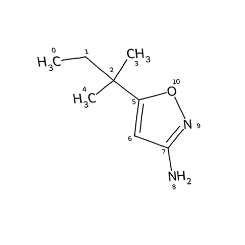 CCC(C)(C)c1cc(N)no1